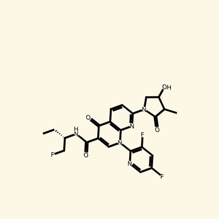 CC[C@@H](CF)NC(=O)c1cn(-c2ncc(F)cc2F)c2nc(N3CC(O)C(C)C3=O)ccc2c1=O